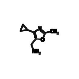 Cc1nc(C2CC2)c(CN)o1